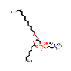 CCCCCCCC/C=C\CCCCCCCCOC[C@H](COP(=O)(O)OCC[N+](C)(C)C)OC(=O)CCCCCCCCCCCCCCC